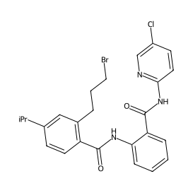 CC(C)c1ccc(C(=O)Nc2ccccc2C(=O)Nc2ccc(Cl)cn2)c(CCCBr)c1